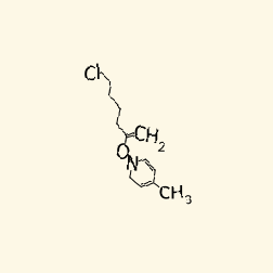 C=C(CCCCCl)ON1C=CC(C)=CC1